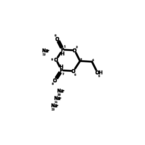 O=[PH]1OC(CO)O[PH](=O)O1.[Na].[Na].[Na].[Na]